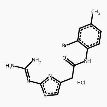 Cc1ccc(NC(=O)Cc2csc(N=C(N)N)n2)c(Br)c1.Cl